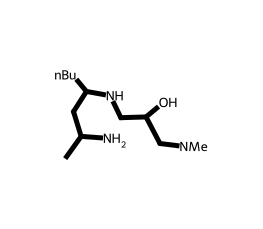 CCCCC(CC(C)N)NCC(O)CNC